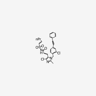 CCCC=CS(=O)(=O)NC(=O)C=Cc1c(Cl)nc(C)n1Cc1ccc(C#Cc2ccccc2)cc1Cl